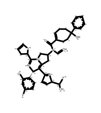 C=CN(C(=O)C1=CCCC(O)(c2ccccc2)CC1)C1CC2=C(C3=NC(C(C)F)C=C3)[C@H](c3ccc(F)cc3Cl)N=C(C3CC=CS3)N2C1